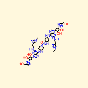 CCn1cnc(CCNc2nc(NC3CCN(C(=O)N[C@H]4CC[C@H](Nc5nc(NCCc6cn(CC)cn6)nc6c5ncn6[C@@H]5C[C@H](n6ncc(CO)n6)[C@@H](O)[C@H]5O)CC4)CC3)c3ncn([C@@H]4C[C@H](n5ncc(CO)n5)[C@@H](O)[C@H]4O)c3n2)c1